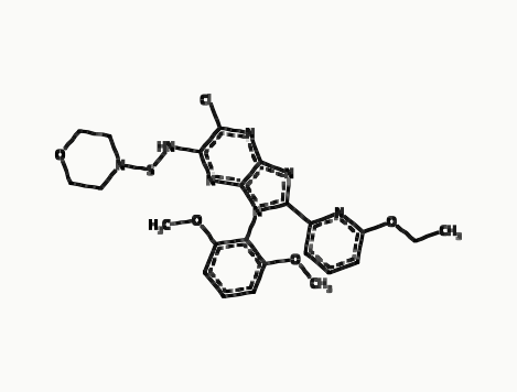 CCOc1cccc(-c2nc3nc(Cl)c(NSN4CCOCC4)nc3n2-c2c(OC)cccc2OC)n1